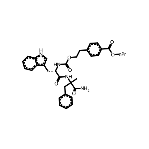 CCCOC(=O)c1ccc(CCOC(=O)N[C@@H](Cc2c[nH]c3ccccc23)C(=O)NC(C)(Cc2ccccc2)C(N)=O)cc1